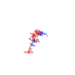 CC(C)(COP(=O)(O)OP(=O)(O)OC[C@H]1O[C@@H](n2cnc3c(N)ncnc32)[C@H](O)[C@@H]1OP(=O)(O)O)[C@@H](O)C(=O)NCCC(=O)NCCSC(=O)CC(CO)CC(=O)O